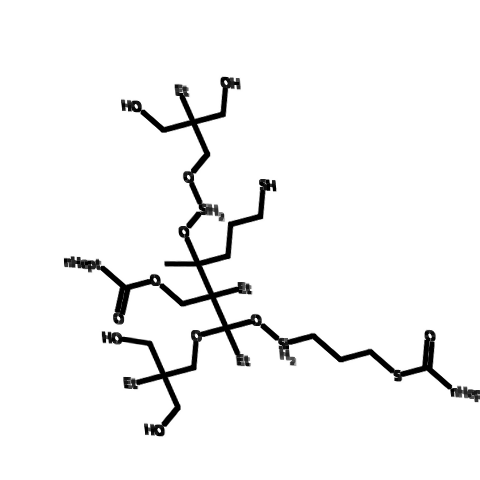 CCCCCCCC(=O)OCC(CC)(C(C)(CCCS)O[SiH2]OCC(CC)(CO)CO)C(CC)(OCC(CC)(CO)CO)O[SiH2]CCCSC(=O)CCCCCCC